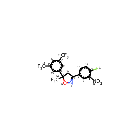 O=[N+]([O-])c1cc(C2=NOC(c3cc(C(F)(F)F)cc(C(F)(F)F)c3)(C(F)(F)F)C2)ccc1F